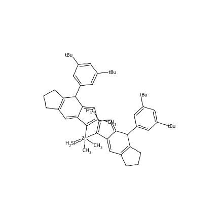 CC1=[C]([Zr]([CH3])([CH3])(=[SiH2])[C]2=C(C)C=C3C2=CC2=C(CCC2)C3c2cc(C(C)(C)C)cc(C(C)(C)C)c2)C2=CC3=C(CCC3)C(c3cc(C(C)(C)C)cc(C(C)(C)C)c3)C2=C1